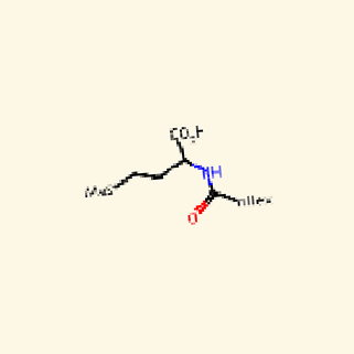 CCCCCCC(=O)NC(CCSC)C(=O)O